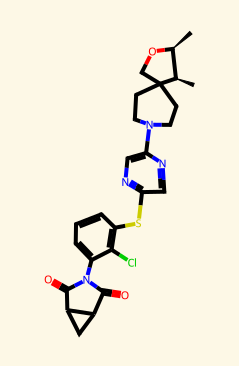 C[C@@H]1OCC2(CCN(c3cnc(Sc4cccc(N5C(=O)C6CC6C5=O)c4Cl)cn3)CC2)[C@@H]1C